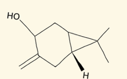 C=C1C[C@@H]2C(CC1O)C2(C)C